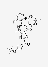 C[C@@H]1N=C(c2c(F)cccc2F)c2c(sc3c2COC[C@H](C)O3)-n2nc(C(=O)N3CC(OC(C)(C)C)C3)nc21